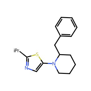 CC(C)c1ncc(N2CCCCC2Cc2ccccc2)s1